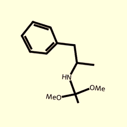 COC(C)(NC(C)Cc1ccccc1)OC